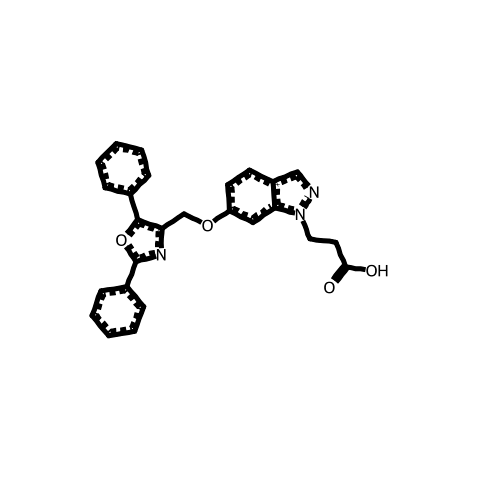 O=C(O)CCn1ncc2ccc(OCc3nc(-c4ccccc4)oc3-c3ccccc3)cc21